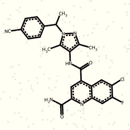 Cc1nn(C(C)c2ccc(C#N)cc2)c(C)c1NC(=O)c1cc(C(N)=O)nc2cc(F)c(Cl)cc12